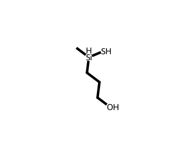 C[SiH](S)CCCO